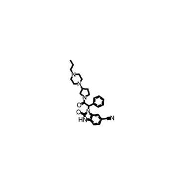 CCCN1CCN(C2CCN(C(=O)C(c3ccccc3)n3c(=O)[nH]c4ccc(C#N)cc43)C2)CC1